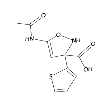 CC(=O)NC1=CC(C(=O)O)(c2cccs2)NO1